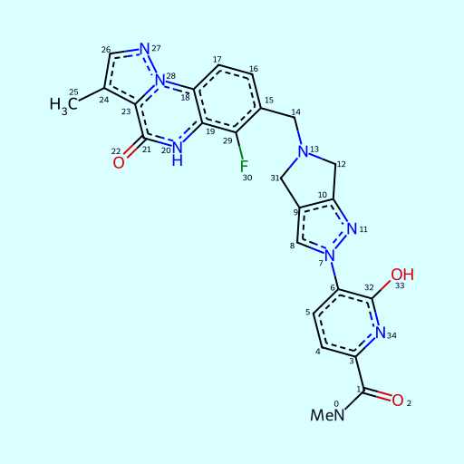 CNC(=O)c1ccc(-n2cc3c(n2)CN(Cc2ccc4c([nH]c(=O)c5c(C)cnn54)c2F)C3)c(O)n1